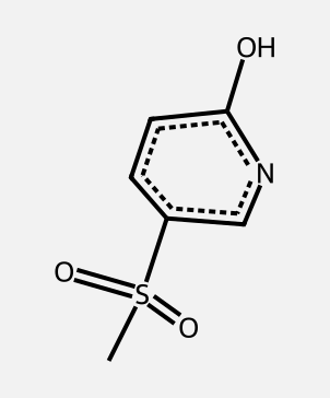 CS(=O)(=O)c1ccc(O)nc1